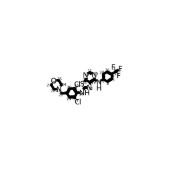 FC(F)(F)c1ccc(Nc2ncnc3sc(Nc4c(Cl)cc(CN5CCOCC5)cc4Cl)nc23)cc1